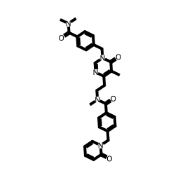 Cc1c(CCN(C)C(=O)c2ccc(Cn3ccccc3=O)cc2)ncn(Cc2ccc(C(=O)N(C)C)cc2)c1=O